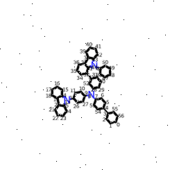 c1ccc(-c2ccc(N(c3ccc(-n4c5ccccc5c5ccccc54)cc3)c3cccc(-c4cccc5c6ccccc6n(-c6ccccc6)c45)c3)cc2)cc1